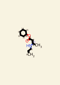 C=CCN/C(C)=C\C(=O)OC1CCCCC1